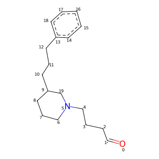 O=[C]CCCN1CCCC(CCCc2ccccc2)C1